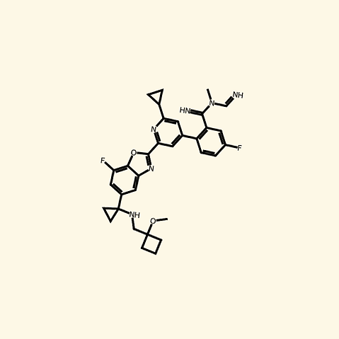 COC1(CNC2(c3cc(F)c4oc(-c5cc(-c6ccc(F)cc6C(=N)N(C)C=N)cc(C6CC6)n5)nc4c3)CC2)CCC1